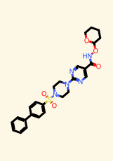 O=C(NOC1CCCCO1)c1cnc(N2CCN(S(=O)(=O)c3ccc(-c4ccccc4)cc3)CC2)nc1